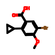 COc1cc(C2CC2)c(C(=O)O)cc1Br